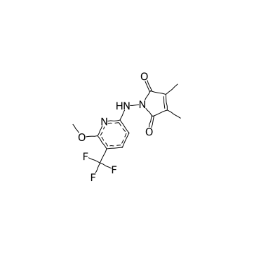 COc1nc(NN2C(=O)C(C)=C(C)C2=O)ccc1C(F)(F)F